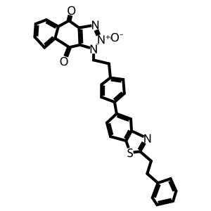 O=C1c2ccccc2C(=O)c2c1n[n+]([O-])n2CCc1ccc(-c2ccc3sc(CCc4ccccc4)nc3c2)cc1